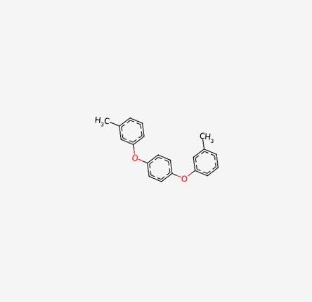 Cc1cccc(Oc2ccc(Oc3cccc(C)c3)cc2)c1